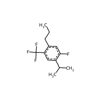 CCCc1cc(F)c(C(C)C)cc1C(F)(F)F